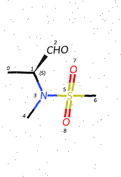 C[C@@H](C=O)N(C)S(C)(=O)=O